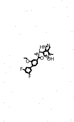 CCOc1cc(C(=O)N(C)[C@@H](C)c2c[n+](O)c(C)c3cn[nH]c23)ccc1-c1cc(F)cc(F)c1